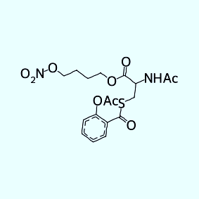 CC(=O)NC(CSC(=O)c1ccccc1OC(C)=O)C(=O)OCCCCO[N+](=O)[O-]